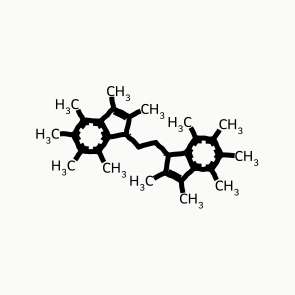 CC1=C(C)c2c(C)c(C)c(C)c(C)c2[C]1CC[C]1C(C)=C(C)c2c(C)c(C)c(C)c(C)c21